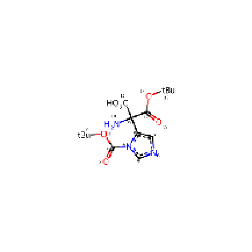 CC(C)(C)OC(=O)n1cncc1C(N)(C(=O)O)C(=O)OC(C)(C)C